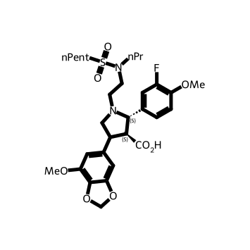 CCCCCS(=O)(=O)N(CCC)CCN1CC(c2cc(OC)c3c(c2)OCO3)[C@H](C(=O)O)[C@H]1c1ccc(OC)c(F)c1